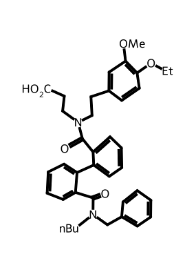 CCCCN(Cc1ccccc1)C(=O)c1ccccc1-c1ccccc1C(=O)N(CCC(=O)O)CCc1ccc(OCC)c(OC)c1